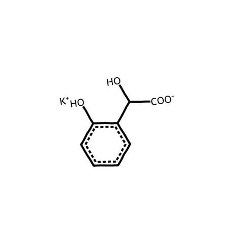 O=C([O-])C(O)c1ccccc1O.[K+]